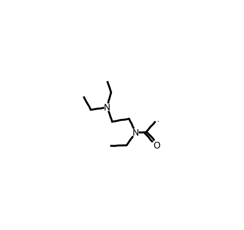 [CH2]C(=O)N(CC)CCN(CC)CC